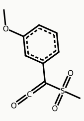 COc1cccc(C(=C=O)S(C)(=O)=O)c1